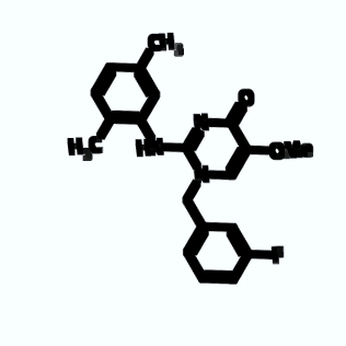 COc1cn(Cc2cccc(F)c2)c(Nc2cc(C)ccc2C)nc1=O